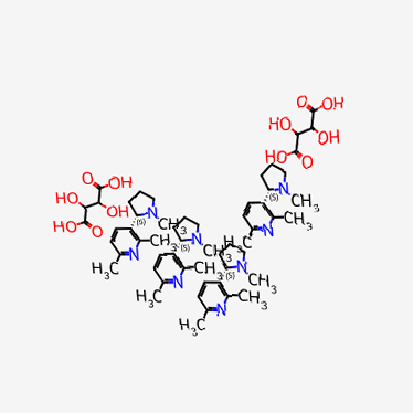 Cc1ccc([C@@H]2CCCN2C)c(C)n1.Cc1ccc([C@@H]2CCCN2C)c(C)n1.Cc1ccc([C@@H]2CCCN2C)c(C)n1.Cc1ccc([C@@H]2CCCN2C)c(C)n1.O=C(O)C(O)C(O)C(=O)O.O=C(O)C(O)C(O)C(=O)O